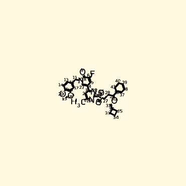 Cc1cc(-c2cc(F)c(=O)n(Cc3ccc4c(c3)OCO4)c2)nc(S(=O)(=O)CCC(OCC2CCC2)c2ccccc2)n1